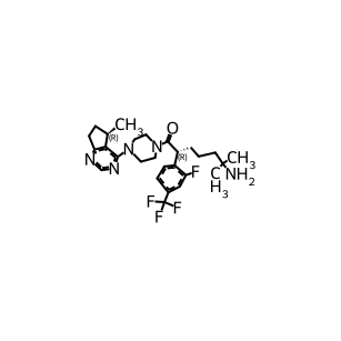 C[C@@H]1CCc2ncnc(N3CCN(C(=O)[C@H](CCCC(C)(C)N)c4ccc(C(F)(F)F)cc4F)CC3)c21